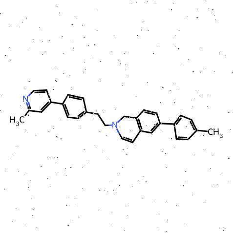 Cc1ccc(-c2ccc3c(c2)C=CN(CCc2ccc(-c4ccnc(C)c4)cc2)C3)cc1